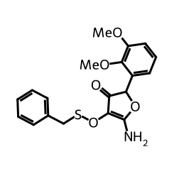 COc1cccc(C2OC(N)=C(OSCc3ccccc3)C2=O)c1OC